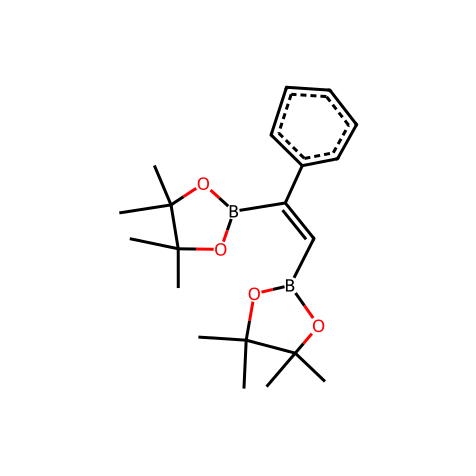 CC1(C)OB(C=C(B2OC(C)(C)C(C)(C)O2)c2ccccc2)OC1(C)C